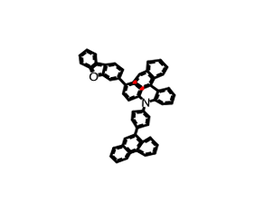 c1ccc(N(c2ccc(-c3ccc4c(c3)oc3ccccc34)cc2)c2ccc(-c3cc4ccccc4c4ccccc34)cc2)c(-c2cccc3ccccc23)c1